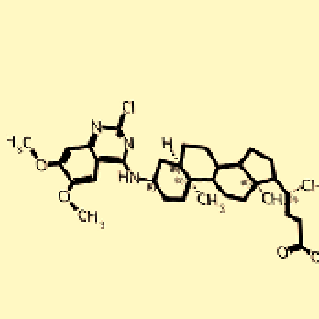 COc1cc2nc(Cl)nc(N[C@@H]3CC[C@]4(C)C5CC[C@@]6(C)C(CCC6[C@H](C)CCC(=O)O)C5CC[C@@H]4C3)c2cc1OC